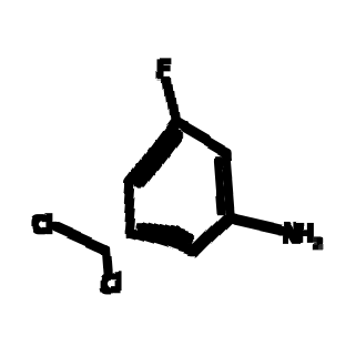 ClCCl.Nc1cccc(F)c1